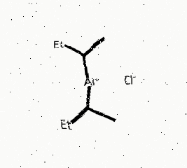 CC[CH](C)[Al+][CH](C)CC.[Cl-]